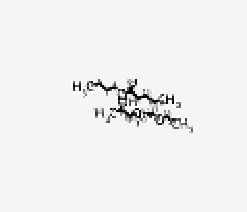 CC(O)CO.CCCCOC(=O)CCCC.CCOCC